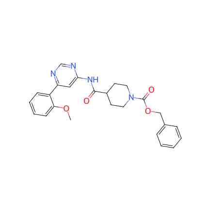 COc1ccccc1-c1cc(NC(=O)C2CCN(C(=O)OCc3ccccc3)CC2)ncn1